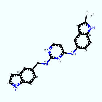 O=C(O)c1cc2cc(Nc3ccnc(NCc4ccc5[nH]ccc5c4)n3)ccc2[nH]1